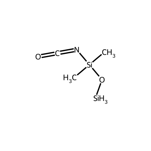 C[Si](C)(N=C=O)O[SiH3]